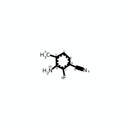 Cc1ccc(C#N)c(F)c1N